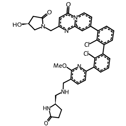 COc1nc(-c2cccc(-c3cccc(-c4ccn5c(=O)cc(CN6C[C@@H](O)CC6=O)nc5c4)c3Cl)c2Cl)ccc1CNC[C@H]1CCC(=O)N1